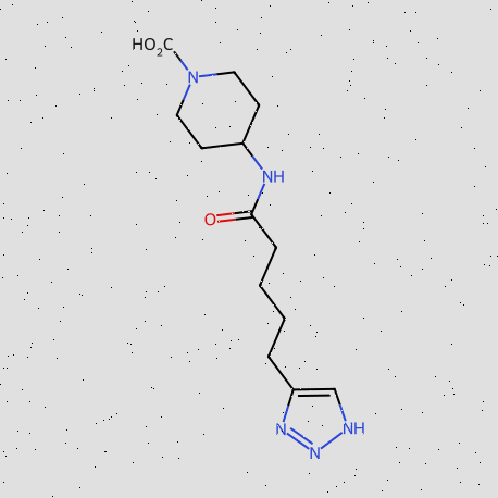 O=C(CCCCc1c[nH]nn1)NC1CCN(C(=O)O)CC1